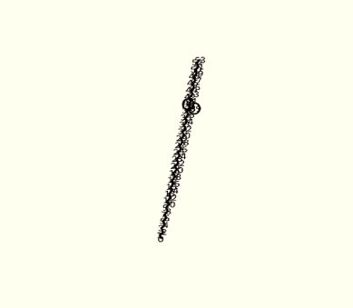 CCCCCCCCCCCCCCCCCCCCCCCCCCCCCCCCCCCCCCC(=O)OCCCCCCCCCCCCC